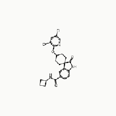 O=C(NC1CCC1)c1ccc2c(c1)C1(CCC(Oc3ncc(Cl)cc3Cl)CC1)C(=O)N2